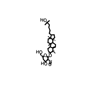 C[C@@H]1C2=CCC3[C@@](C)(CC[C@]4(C)C(CCCCC(C)(C)O)CC[C@@]34C)C2CC[C@@H]1O[C@@H]1O[C@H](CO)C[C@H](O)[C@H]1N=O